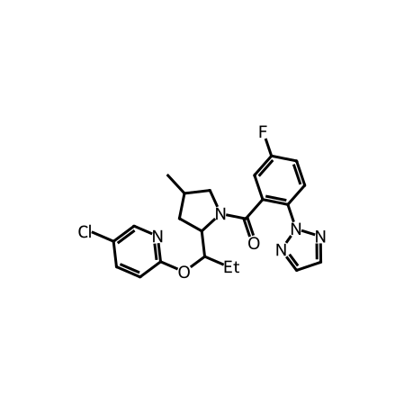 CCC(Oc1ccc(Cl)cn1)C1CC(C)CN1C(=O)c1cc(F)ccc1-n1nccn1